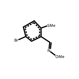 CO/N=C/c1cc(Br)ccc1SC